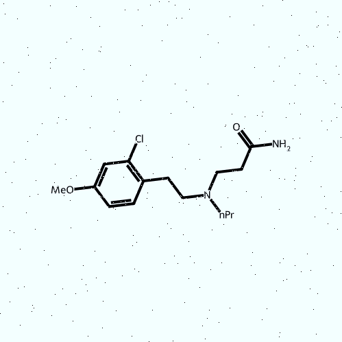 CCCN(CCC(N)=O)CCc1ccc(OC)cc1Cl